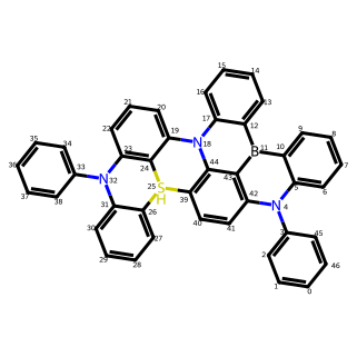 c1ccc(N2c3ccccc3B3c4ccccc4N4c5cccc6c5[SH](c5ccccc5N6c5ccccc5)c5ccc2c3c54)cc1